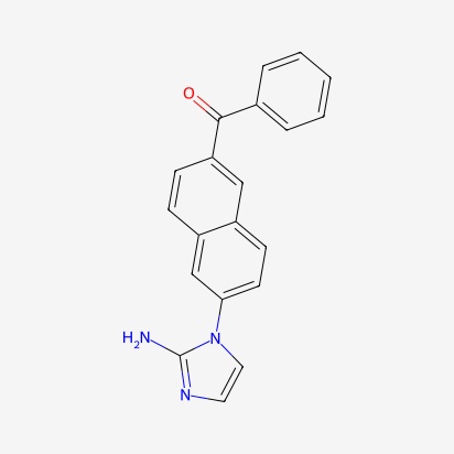 Nc1nccn1-c1ccc2cc(C(=O)c3ccccc3)ccc2c1